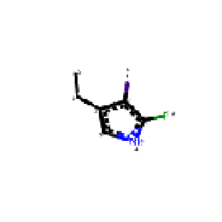 CCc1c[nH]c(F)c1I